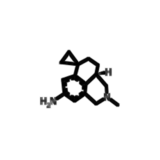 CN1Cc2cc(N)cc3c2[C@H](CCC32CC2)C1